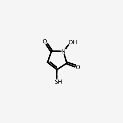 O=C1C=C(S)C(=O)N1O